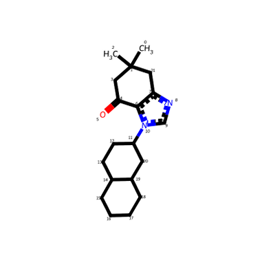 CC1(C)CC(=O)c2c(ncn2C2CCC3CCCCC3C2)C1